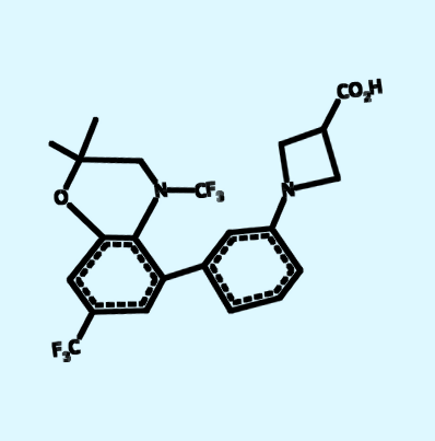 CC1(C)CN(C(F)(F)F)c2c(cc(C(F)(F)F)cc2-c2cccc(N3CC(C(=O)O)C3)c2)O1